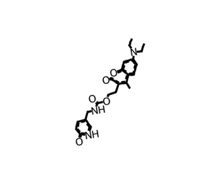 CCN(CC)c1ccc2c(C)c(CCOC(=O)NCc3ccc(=O)[nH]c3)c(=O)oc2c1